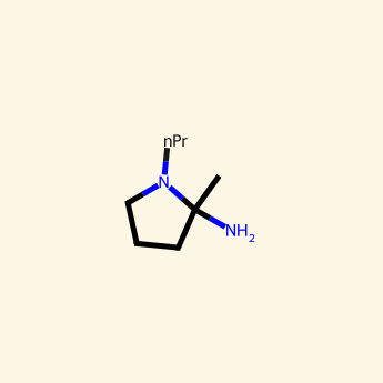 CCCN1CCCC1(C)N